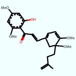 C=C(C)CCC1(OC)CC(C=CC(=O)c2c(O)cc(OC)cc2OC)=CC=C1OC